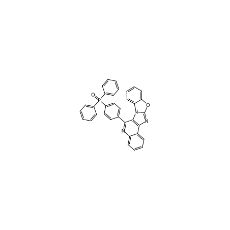 O=P(c1ccccc1)(c1ccccc1)c1ccc(-c2nc3ccccc3c3nc4oc5ccccc5n4c23)cc1